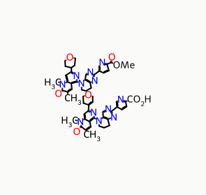 COC(=O)c1ccc(-c2ncc3c(n2)CCCN3c2nc(C3CCOCC3)cc3c2cc(C)c(=O)n3C)cn1.Cc1cc2c(N3CCCc4nc(-c5ccc(C(=O)O)nc5)ncc43)nc(C3=CCOCC3)cc2n(C)c1=O